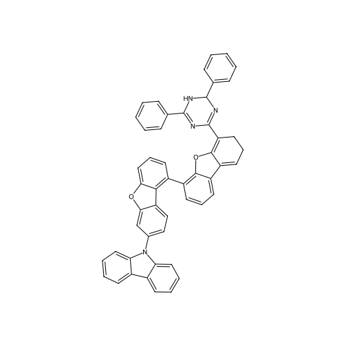 C1=c2c(oc3c(-c4cccc5oc6cc(-n7c8ccccc8c8ccccc87)ccc6c45)cccc23)=C(C2=NC(c3ccccc3)NC(c3ccccc3)=N2)CC1